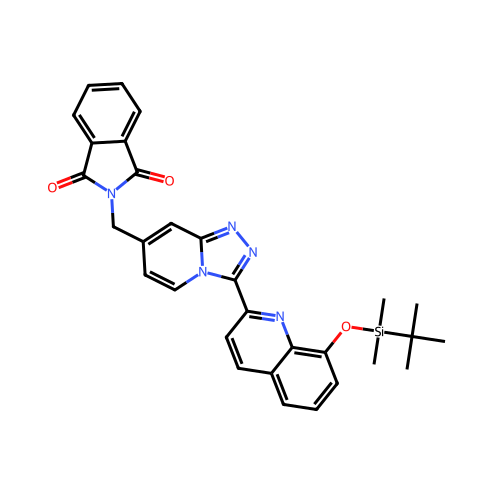 CC(C)(C)[Si](C)(C)Oc1cccc2ccc(-c3nnc4cc(CN5C(=O)c6ccccc6C5=O)ccn34)nc12